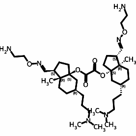 CN(C)CCC[C@H]1CC[C@]2(C)[C@@H](C=NOCCN)CC[C@]2(OC(=O)C(=O)O[C@]23CC[C@H](C=NOCCN)[C@@]2(C)CC[C@H](CCCN(C)C)C3)C1